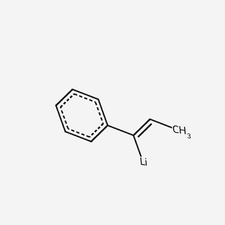 [Li][C](=CC)c1ccccc1